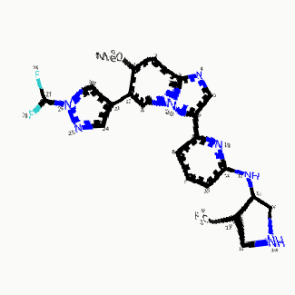 COc1cc2ncc(-c3cccc(NC4CNCC4C(F)(F)F)n3)n2cc1-c1cnn(C(F)F)c1